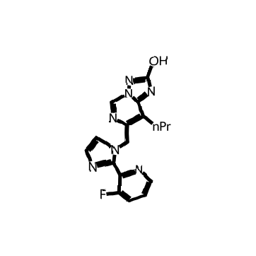 CCCc1c(Cn2ccnc2-c2ncccc2F)ncn2nc(O)nc12